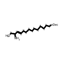 CCCCCCCCCCCCCCCCCCCC/C=C/C(N)CO